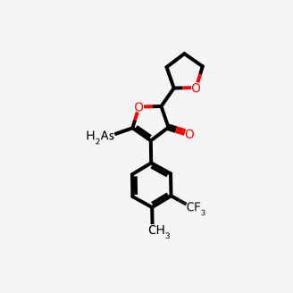 Cc1ccc(C2=C([AsH2])OC(C3CCCO3)C2=O)cc1C(F)(F)F